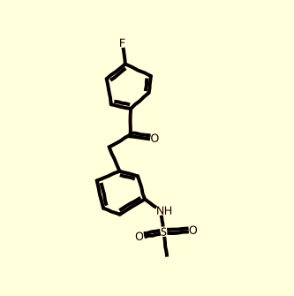 CS(=O)(=O)Nc1cccc(CC(=O)c2ccc(F)cc2)c1